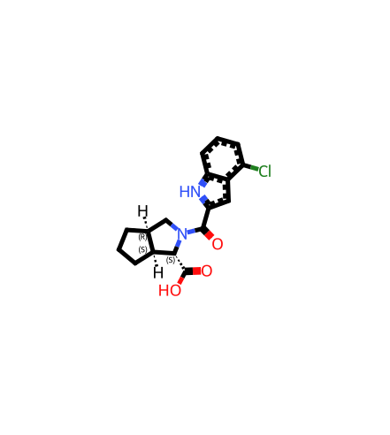 O=C(O)[C@@H]1[C@H]2CCC[C@H]2CN1C(=O)c1cc2c(Cl)cccc2[nH]1